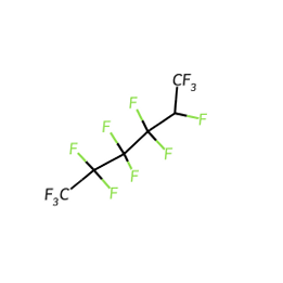 FC(C(F)(F)F)C(F)(F)C(F)(F)C(F)(F)C(F)(F)F